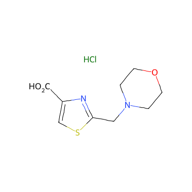 Cl.O=C(O)c1csc(CN2CCOCC2)n1